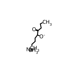 B.CCCCC([O-])C(=O)CCC.[Na+]